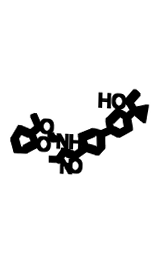 C=C(O)C1(c2ccc(-c3ccc(-c4onc(C)c4NC(=O)OC(C)c4ccccc4)cc3)cc2)CC1